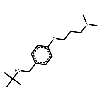 CN(C)CCCOc1ccc(CNC(C)(C)C)cc1